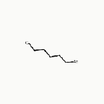 [CH2]C(=O)CCCCCCl